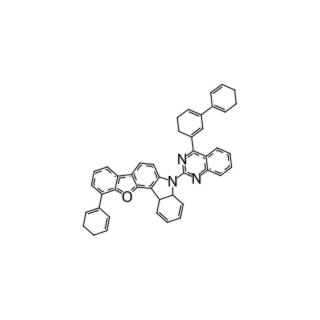 C1=CC2c3c(ccc4c3oc3c(C5=CCCC=C5)cccc34)N(c3nc(C4=CC(C5=CCCC=C5)=CCC4)c4ccccc4n3)C2C=C1